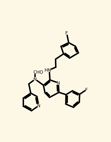 O=CN(Cc1cccnc1)c1ccc(-c2cccc(F)c2)nc1NCCc1cccc(F)c1